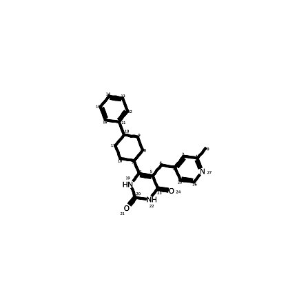 Cc1cc(Cc2c(C3CCC(c4ccccc4)CC3)[nH]c(=O)[nH]c2=O)ccn1